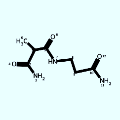 C[C](C(N)=O)C(=O)NCCC(N)=O